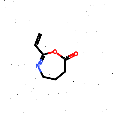 C=CC1=NCCCC(=O)O1